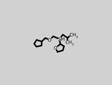 CC(C)C[SiH](COCC1CCCC1)C1CCCO1